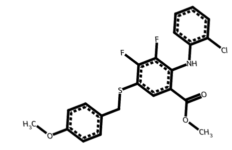 COC(=O)c1cc(SCc2ccc(OC)cc2)c(F)c(F)c1Nc1ccccc1Cl